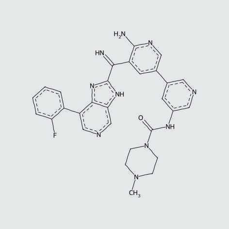 CN1CCN(C(=O)Nc2cncc(-c3cnc(N)c(C(=N)c4nc5c(-c6ccccc6F)cncc5[nH]4)c3)c2)CC1